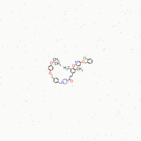 Cc1cc(C=CC(=O)N2CCN(Cc3ccc(CCOc4ccc(OC(C)C)cc4)cc3)CC2)cc(C)c1Oc1ccc(OCc2ccccc2Cl)cn1